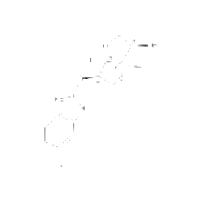 O[C@@H]1CO[C@H]2[C@@H]1OC[C@H]2Oc1nc2ccc(Cl)cc2[nH]1